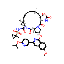 COc1ccc2c(O[C@@H]3C[C@H]4C(=O)N[C@]5(C(=O)NS(=O)(=O)C6(C)CC6)C[C@H]5C=CCC[C@H](C)C[C@@H](C)[C@H](NC(=O)O)C(=O)N4C3)nc(-c3ccc(OC(C)C)nc3)cc2c1